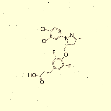 CC1=NN(c2ccc(Cl)c(Cl)c2)C(COc2c(F)cc(CCC(=O)O)cc2F)C1